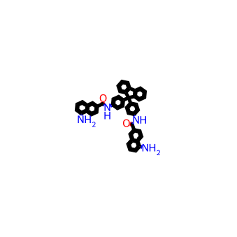 Nc1cccc2cc(C(=O)Nc3ccc(C4(c5ccc(NC(=O)c6ccc7c(N)cccc7c6)cc5)c5ccccc5-c5ccccc54)cc3)ccc12